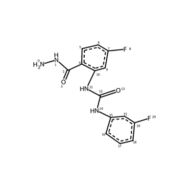 NNC(=O)c1ccc(F)cc1NC(=O)Nc1cccc(F)c1